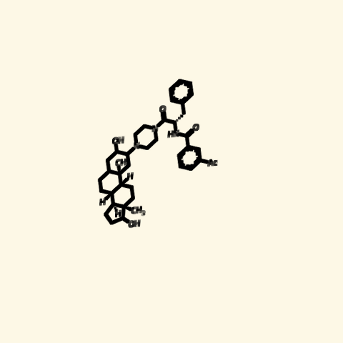 CC(=O)c1cccc(C(=O)N[C@@H](Cc2ccccc2)C(=O)N2CCN(C3C[C@@]4(C)C(CC[C@@H]5[C@H]4CC[C@]4(C)C(O)CC[C@@H]54)CC3O)CC2)c1